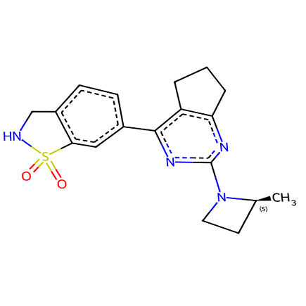 C[C@H]1CCN1c1nc2c(c(-c3ccc4c(c3)S(=O)(=O)NC4)n1)CCC2